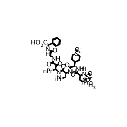 CCCC(NC(=O)[C@H](CC(C)C)NC(=O)[C@@H](NC(=O)C(CC(C)C)NS(C)(=O)=O)C1CC[S+]([O-])CC1)C(=O)C(=O)NCC(=O)N[C@H](C(=O)O)c1ccccc1